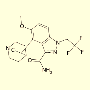 COc1ccc2c(c(C(N)=O)nn2CC(F)(F)F)c1C1CN2CCC1CC2